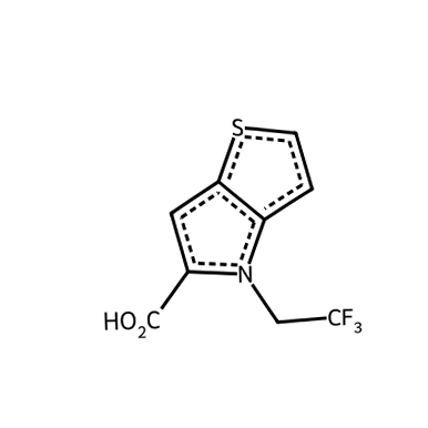 O=C(O)c1cc2sccc2n1CC(F)(F)F